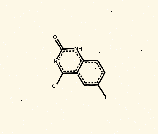 O=c1nc(Cl)c2cc(I)ccc2[nH]1